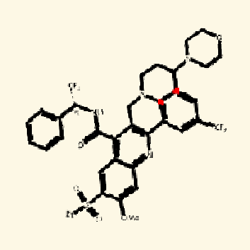 CCS(=O)(=O)c1cc2c(C(=O)N[C@H](c3ccccc3)C(F)(F)F)c(CN3CCC(N4CCOCC4)CC3)c(-c3cccc(C(F)(F)F)c3)nc2cc1OC